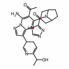 CC(=O)c1c(C2CC3CCC(C2)N3C(=O)c2nnc[nH]2)nc2c(C3C=NC(C(C)O)=CC3)cnn2c1N